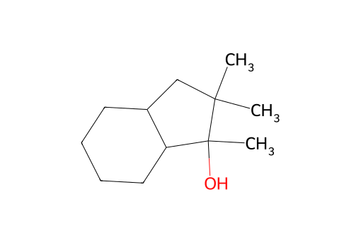 CC1(C)CC2CCCCC2C1(C)O